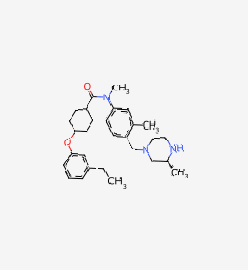 CCc1cccc(OC2CCC(C(=O)N(C)c3ccc(CN4CCN[C@@H](C)C4)c(C)c3)CC2)c1